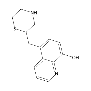 Oc1ccc(CC2CNCCS2)c2cccnc12